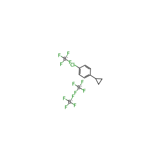 Clc1ccc(C2CC2)cc1.F[B-](F)(F)F.F[B-](F)(F)F.F[B-](F)(F)F